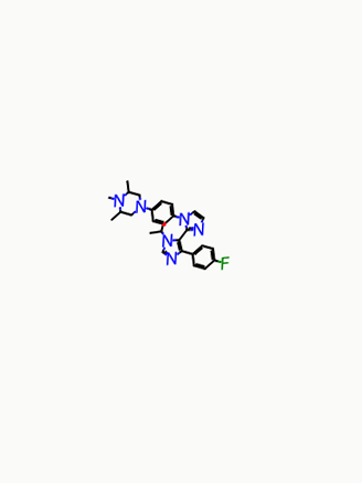 CC1CN(c2ccc(-n3ccnc3-c3c(-c4ccc(F)cc4)ncn3C(C)C)cc2)CC(C)N1C